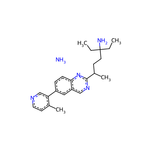 CCC(N)(CC)CCC(C)c1ncc2cc(-c3cnccc3C)ccc2n1.N